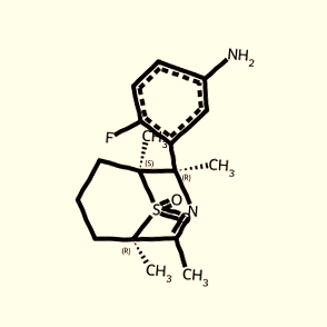 CC1=N[C@](C)(c2cc(N)ccc2F)[C@]2(C)CCC[C@@]1(C)S2(=O)=O